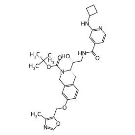 Cc1ncoc1COc1ccc2c(c1)CN(C(=O)OC(C)(C)C)[C@H]([C@H](O)CNC(=O)c1ccnc(NC3CCC3)c1)C2